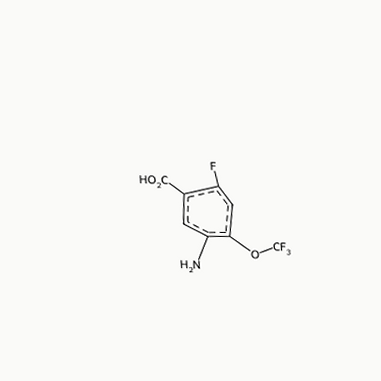 Nc1cc(C(=O)O)c(F)cc1OC(F)(F)F